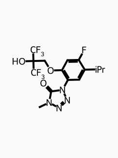 CC(C)c1cc(-n2nnn(C)c2=O)c(OCC(O)(C(F)(F)F)C(F)(F)F)cc1F